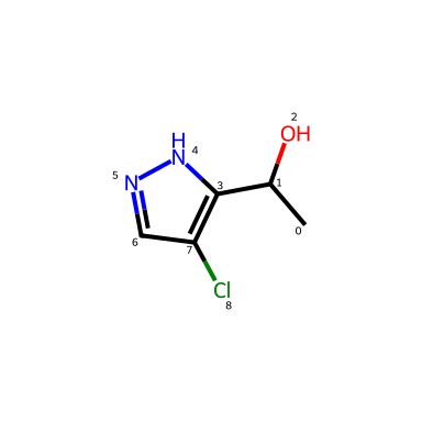 CC(O)c1[nH]ncc1Cl